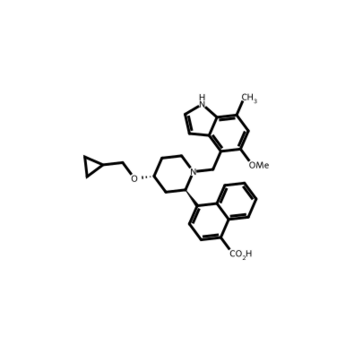 COc1cc(C)c2[nH]ccc2c1CN1CC[C@@H](OCC2CC2)C[C@@H]1c1ccc(C(=O)O)c2ccccc12